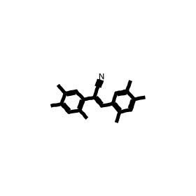 Cc1cc(C)c(/C=C(\C#N)c2cc(C)c(C)cc2C)cc1C